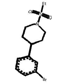 CCS(=O)(=O)N1CCC(c2cccc(Br)c2)CC1